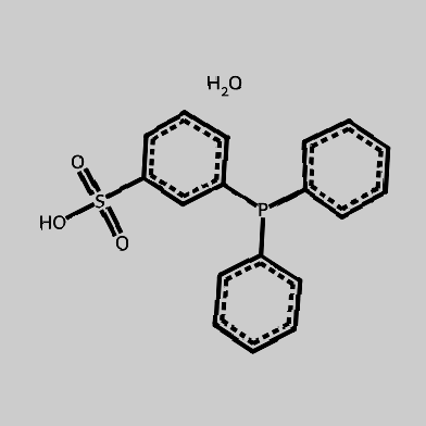 O.O=S(=O)(O)c1cccc(P(c2ccccc2)c2ccccc2)c1